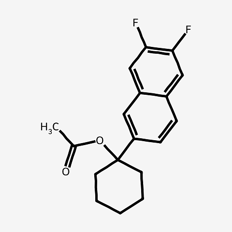 CC(=O)OC1(c2ccc3cc(F)c(F)cc3c2)CCCCC1